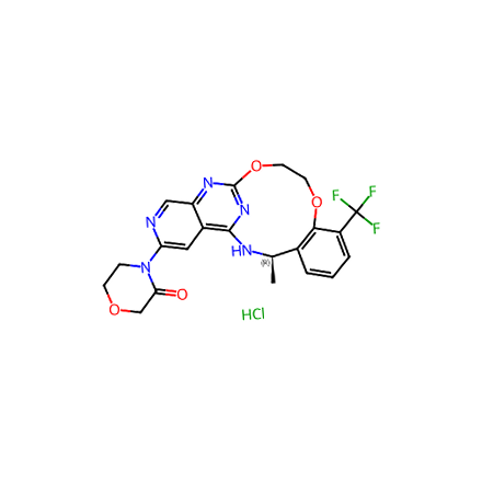 C[C@H]1Nc2nc(nc3cnc(N4CCOCC4=O)cc23)OCCOc2c1cccc2C(F)(F)F.Cl